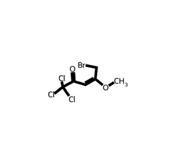 COC(=CC(=O)C(Cl)(Cl)Cl)CBr